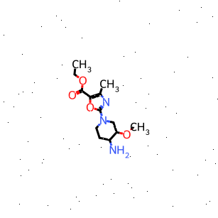 CCOC(=O)c1oc(N2CCC(N)C(OC)C2)nc1C